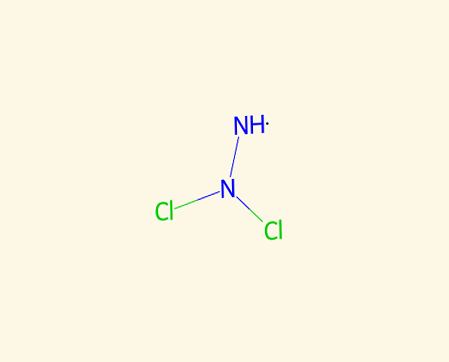 [NH]N(Cl)Cl